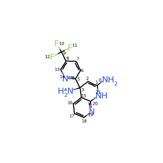 NC1=CC(N)(c2ccc(C(F)(F)F)cn2)c2cccnc2N1